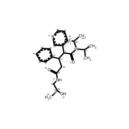 CC(C)N(C(=O)C(c1cccnc1)C(CC(=O)NC[C@H](C)O)c1ccccc1)C(C)C